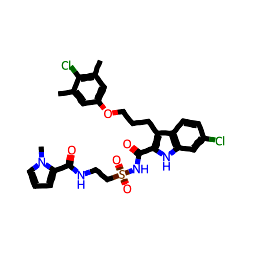 Cc1cc(OCCCc2c(C(=O)NS(=O)(=O)CCNC(=O)c3cccn3C)[nH]c3cc(Cl)ccc23)cc(C)c1Cl